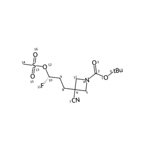 CC(C)(C)OC(=O)N1CC(C#N)(CC[C@H](F)OS(C)(=O)=O)C1